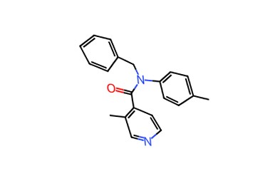 Cc1ccc(N(Cc2ccccc2)C(=O)c2ccncc2C)cc1